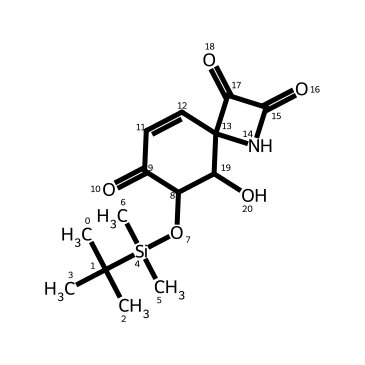 CC(C)(C)[Si](C)(C)OC1C(=O)C=CC2(NC(=O)C2=O)C1O